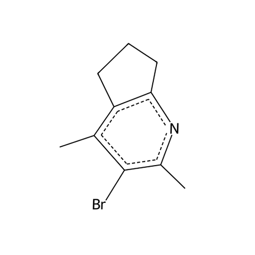 Cc1nc2c(c(C)c1Br)CCC2